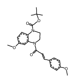 COc1ccc(C=CC(=O)N2CCN(C(=O)OC(C)(C)C)c3ccc(OC)cc32)cc1